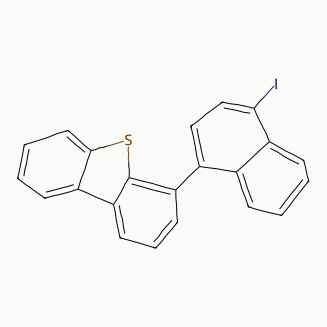 Ic1ccc(-c2cccc3c2sc2ccccc23)c2ccccc12